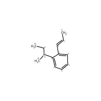 [CH2]C=Cc1ccccc1N(C)CC